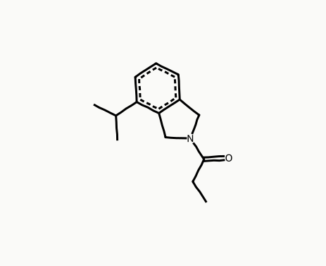 CCC(=O)N1Cc2cccc(C(C)C)c2C1